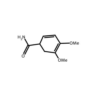 COC1=C(OC)CC(C(N)=O)C=C1